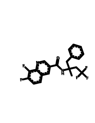 CC(Cc1ccccc1)(CC(F)(F)F)NC(=O)c1cnc2c(F)c(F)ccc2c1